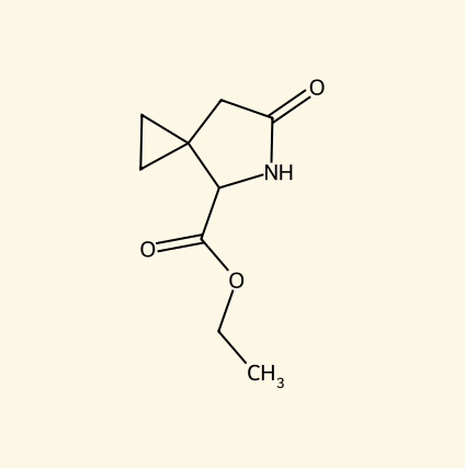 CCOC(=O)C1NC(=O)CC12CC2